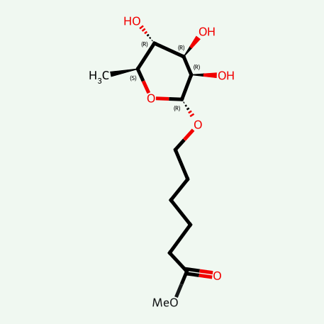 COC(=O)CCCCCO[C@@H]1O[C@@H](C)[C@H](O)[C@@H](O)[C@H]1O